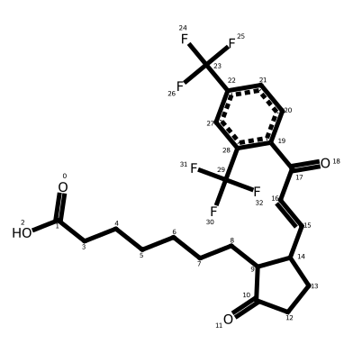 O=C(O)CCCCCCC1C(=O)CCC1/C=C/C(=O)c1ccc(C(F)(F)F)cc1C(F)(F)F